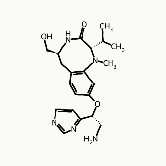 CC(C)[C@H]1C(=O)N[C@H](CO)Cc2ccc(O[C@H](CN)c3ccncn3)cc2N1C